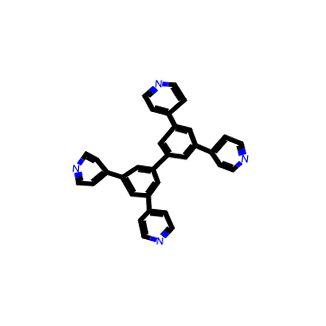 c1cc(-c2cc(-c3ccncc3)cc(-c3cc(-c4ccncc4)cc(-c4ccncc4)c3)c2)ccn1